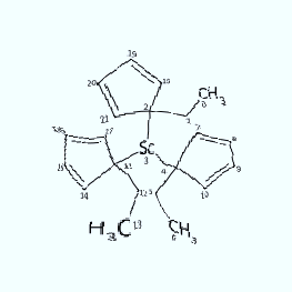 CC[C]1([Sc]([C]2(CC)C=CC=C2)[C]2(CC)C=CC=C2)C=CC=C1